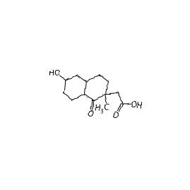 CC1(CC(=O)O)CCC2CC(O)CCC2C1=O